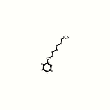 N#CCCCCCCOc1ccccc1